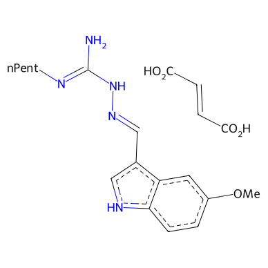 CCCCCN=C(N)NN=Cc1c[nH]c2ccc(OC)cc12.O=C(O)C=CC(=O)O